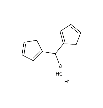 Cl.[H-].[Zr][CH](C1=CC=CC1)C1=CC=CC1